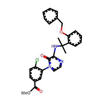 COC(=O)c1ccc(Cl)c(-n2ccnc(NC(C)(C)c3ccccc3OCc3ccccc3)c2=O)c1